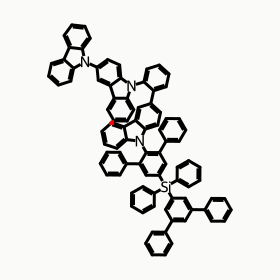 c1ccc(-c2cc(-c3ccccc3)cc([Si](c3ccccc3)(c3ccccc3)c3cc(-c4ccccc4)c(-n4c5ccccc5c5cc(-c6ccccc6-n6c7ccccc7c7cc(-n8c9ccccc9c9ccccc98)ccc76)ccc54)c(-c4ccccc4)c3)c2)cc1